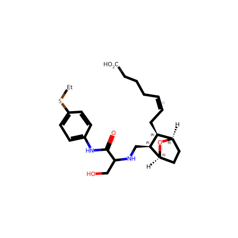 CCSc1ccc(NC(=O)C(CO)NC[C@H]2[C@@H](C/C=C\CCCC(=O)O)[C@H]3CC[C@@H]2O3)cc1